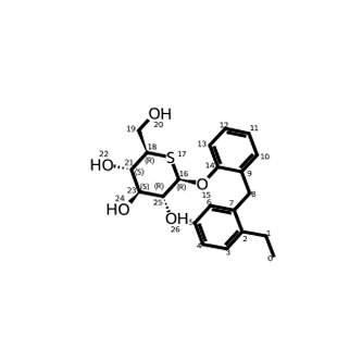 CCc1ccccc1Cc1ccccc1O[C@@H]1S[C@H](CO)[C@@H](O)[C@H](O)[C@H]1O